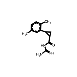 Cc1ccc(C)c(C2CC2C(=O)NC(=N)N)c1